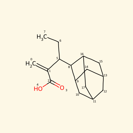 C=C(C(=O)O)C(CC)C1C2CC3CC(C2)CC1C3